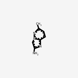 Cc1ccc2nc(N)cn2n1